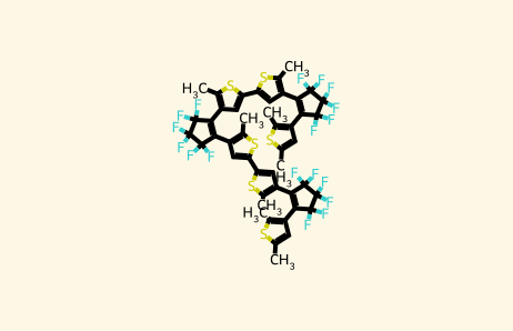 Cc1cc(C2=C(c3cc(-c4cc(C5=C(c6cc(-c7cc(C8=C(c9cc(C)sc9C)C(F)(F)C(F)(F)C8(F)F)c(C)s7)sc6C)C(F)(F)C(F)(F)C5(F)F)c(C)s4)sc3C)C(F)(F)C(F)(F)C2(F)F)c(C)s1